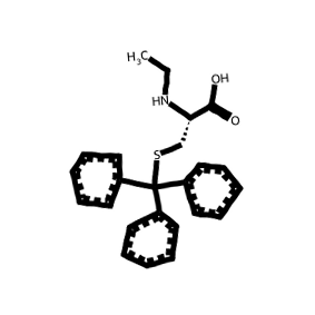 CCN[C@@H](CSC(c1ccccc1)(c1ccccc1)c1ccccc1)C(=O)O